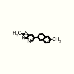 Cc1ccc2cc(-c3cnc4nc(C)sc4c3)ccc2c1